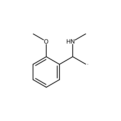 [CH2]C(NC)c1ccccc1OC